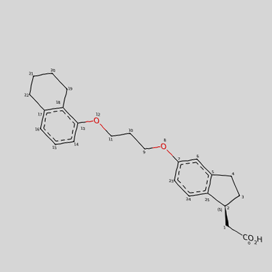 O=C(O)C[C@@H]1CCc2cc(OCCCOc3cccc4c3CCCC4)ccc21